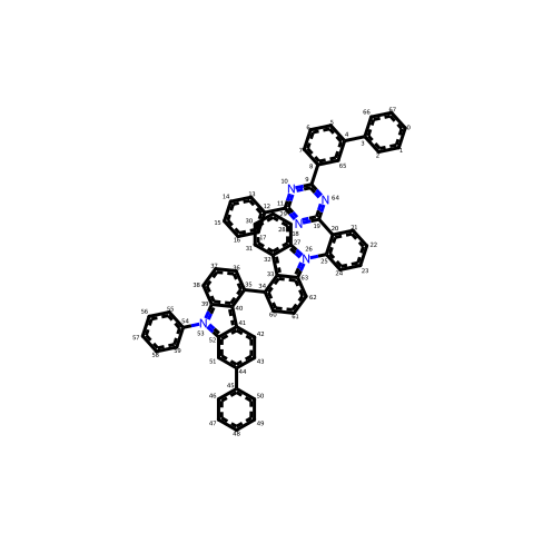 c1ccc(-c2cccc(-c3nc(-c4ccccc4)nc(-c4ccccc4-n4c5ccccc5c5c(-c6cccc7c6c6ccc(-c8ccccc8)cc6n7-c6ccccc6)cccc54)n3)c2)cc1